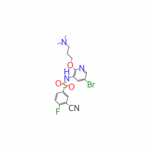 CN(C)CCCOc1ncc(Br)cc1NS(=O)(=O)c1ccc(F)c(C#N)c1